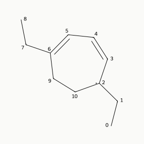 CC[C]1C=CC=C(CC)CC1